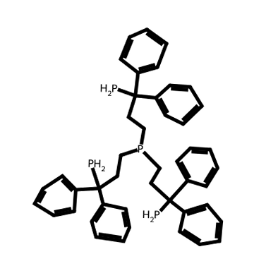 PC(CCP(CCC(P)(c1ccccc1)c1ccccc1)CCC(P)(c1ccccc1)c1ccccc1)(c1ccccc1)c1ccccc1